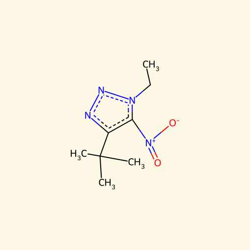 CCn1nnc(C(C)(C)C)c1[N+](=O)[O-]